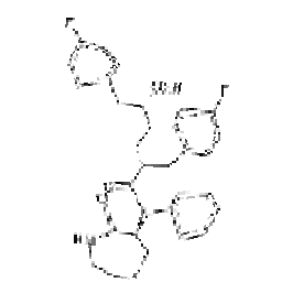 O=C(O)[C@H](CC[C@H](Cc1ccc(F)cc1)C(=O)N(c1ccccc1)[C@H]1CCCCNC1=O)Cc1ccc(F)cc1